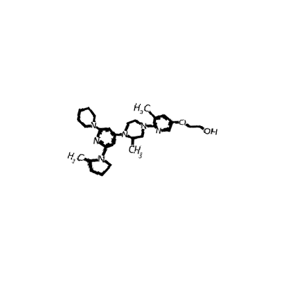 Cc1cc(OCCO)cnc1N1CCN(c2cc(N3CCCCC3)nc(N3CCCC3C)c2)C(C)C1